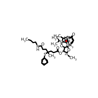 CCCCNC(=O)CCC(C)(CCC(=O)O[C@@H]1C(O[Si](C(C)C)(C(C)C)C(C)C)[C@H](n2ccc(=O)[nH]c2=O)O[C@@H]1CC)Sc1ccccc1